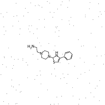 NCCN1CCN(C2NC(c3ccccc3)=CS2)CC1